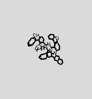 Cc1ccccc1-c1cccc(C2N=C(c3c(-n4c5ccccc5c5cc6ccccc6cc54)ccc4oc5ccccc5c34)N=C(c3ccccc3)N2)c1C